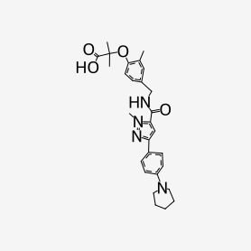 Cc1cc(CNC(=O)c2cc(-c3ccc(N4CCCCC4)cc3)nn2C)ccc1OC(C)(C)C(=O)O